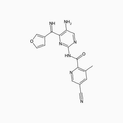 Cc1cc(C#N)cnc1C(=O)Nc1ncc(N)c(C(=N)c2ccoc2)n1